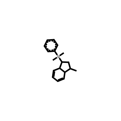 CC1CC([Si](C)(C)c2ccccc2)C2C=CC=CC12